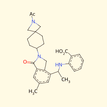 CC(=O)N1CC2(CCC(N3Cc4c(cc(C)cc4C(C)Nc4ccccc4C(=O)O)C3=O)CC2)C1